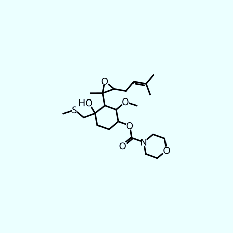 COC1C(OC(=O)N2CCOCC2)CCC(O)(CSC)C1C1(C)OC1CC=C(C)C